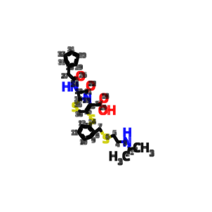 CC(C)NCCSCc1ccccc1SC1=C(C(=O)O)N2C(=O)C(NC(=O)Cc3ccccc3)C2SC1